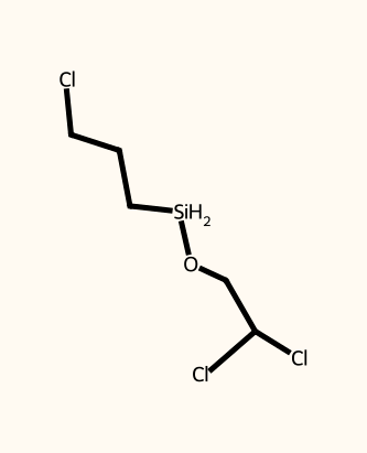 ClCCC[SiH2]OCC(Cl)Cl